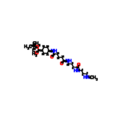 CNCCCNC(=O)CCCNC(=O)CCCC(=O)NC1CCC(C(=O)OC(C)(C)C)CC1